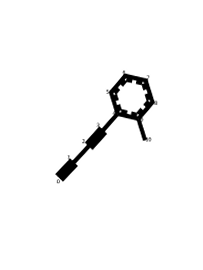 C#CC#Cc1ccccc1C